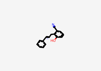 N#Cc1cc#cc(O)c1C/C=C/c1ccccc1